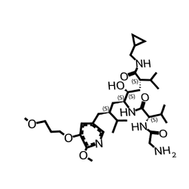 COCCCOc1cc(C[C@@H](C[C@H](NC(=O)[C@@H](NC(=O)CN)C(C)C)[C@@H](O)C[C@H](C(=O)NCC2CC2)C(C)C)C(C)C)cnc1OC